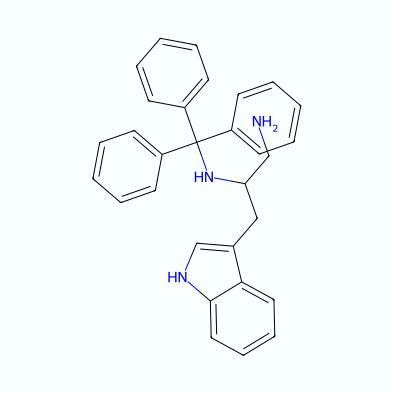 NCC(Cc1c[nH]c2ccccc12)NC(c1ccccc1)(c1ccccc1)c1ccccc1